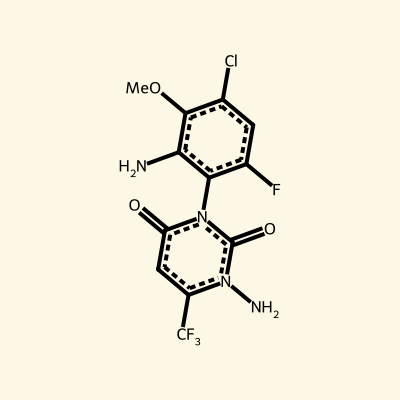 COc1c(Cl)cc(F)c(-n2c(=O)cc(C(F)(F)F)n(N)c2=O)c1N